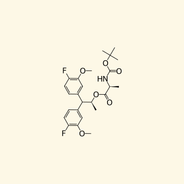 COc1cc(C(c2ccc(F)c(OC)c2)[C@H](C)OC(=O)[C@H](C)NC(=O)OC(C)(C)C)ccc1F